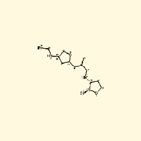 CC[C@@H]1OCC[C@H]1NCC(C)CC1C[C@@H](NCC(C)C)CO1